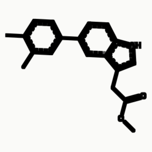 COC(=O)Cc1c[nH]c2ccc(-c3ccc(C)c(C)c3)cc12